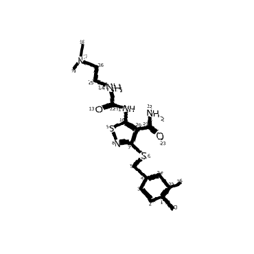 Cc1ccc(CSc2nsc(NC(=O)NCCN(C)C)c2C(N)=O)cc1C